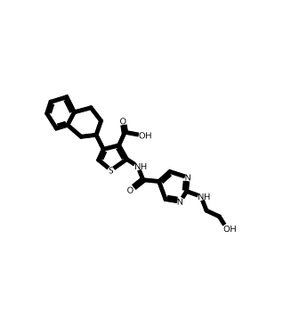 O=C(Nc1scc(C2CCc3ccccc3C2)c1C(=O)O)c1cnc(NCCO)nc1